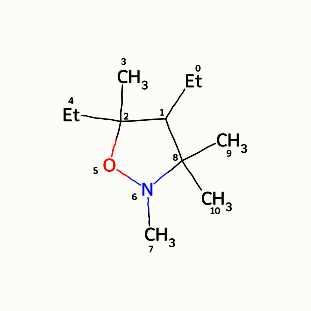 CCC1C(C)(CC)ON(C)C1(C)C